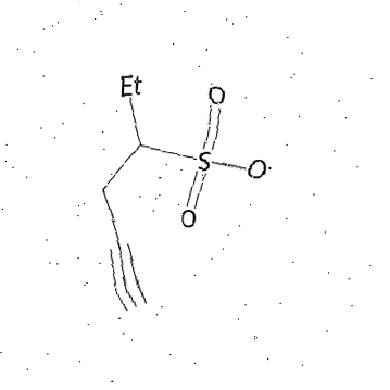 C#CCC(CC)S([O])(=O)=O